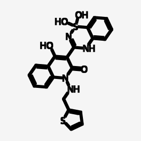 O=c1c(C2=NS(O)(O)c3ccccc3N2)c(O)c2ccccc2n1NCc1cccs1